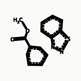 COC(=O)c1ccccc1.c1ccc2snnc2c1